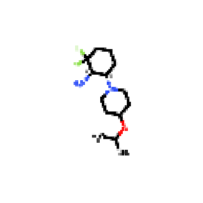 CC(C)OC1CCN([C@H]2CCCC(F)(F)[C@@H]2N)CC1